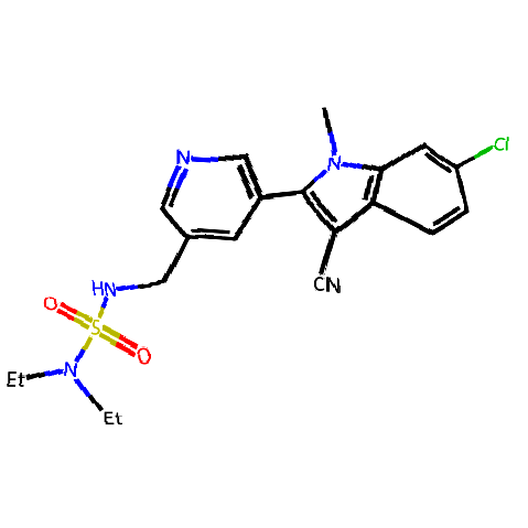 CCN(CC)S(=O)(=O)NCc1cncc(-c2c(C#N)c3ccc(Cl)cc3n2C)c1